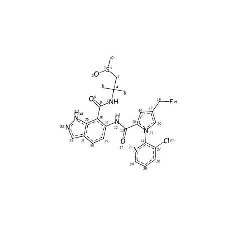 C[S+]([O-])CC(C)(C)NC(=O)c1c(NC(=O)c2cc(CF)cn2-c2ncccc2Cl)ccc2cn[nH]c12